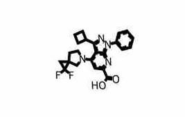 O=C(O)c1cc(N2CCC3(C2)CC3(F)F)c2c(C3CCC3)nn(-c3ccccc3)c2n1